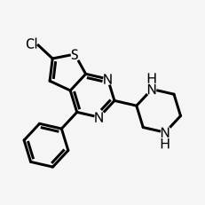 Clc1cc2c(-c3ccccc3)nc(C3CNCCN3)nc2s1